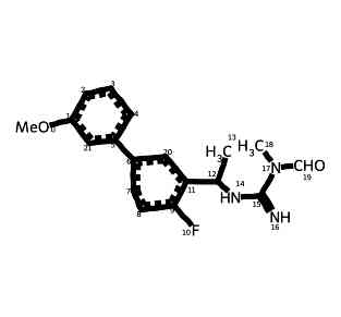 COc1cccc(-c2ccc(F)c(C(C)NC(=N)N(C)C=O)c2)c1